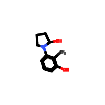 Oc1cccc(N2CCCC2O)c1C(F)(F)F